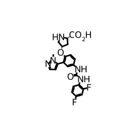 Cn1nccc1-c1cc(NC(=O)Nc2ccc(F)cc2F)ccc1O[C@@H]1CN[C@H](C(=O)O)C1